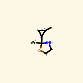 CCCC1(C2CC2C)NCCS1